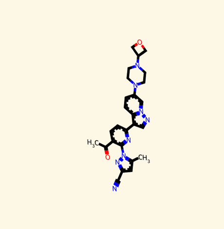 CC(=O)c1ccc(-c2cnn3cc(N4CCN(C5COC5)CC4)ccc23)nc1-n1nc(C#N)cc1C